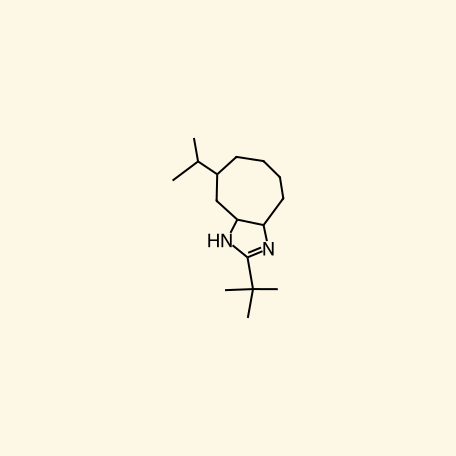 CC(C)C1CCCCC2N=C(C(C)(C)C)NC2C1